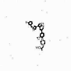 COc1cc(-c2cnc3[nH]cc(-c4cnn(Cc5cccc(F)c5)c4)c3c2)ccc1N1CCN(CC(C)O)CC1